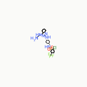 NCCNc1nc(NC[C@H]2CC[C@H](CNS(=O)(=O)c3cc(C(F)(F)F)ccc3Cl)CC2)nc2ccccc12